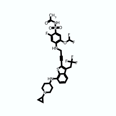 CC(=O)NS(=O)(=O)c1cc(OC(F)F)c(NCC#Cc2sc3c(NC4CCN(C5CC5)CC4)cccc3c2CC(F)(F)F)cc1F